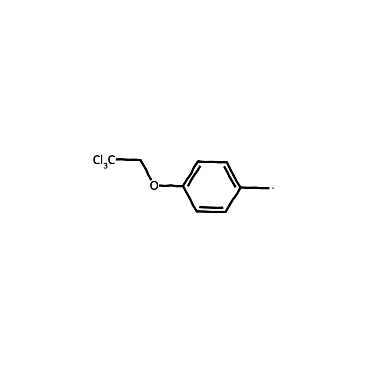 [CH2]c1ccc(OCC(Cl)(Cl)Cl)cc1